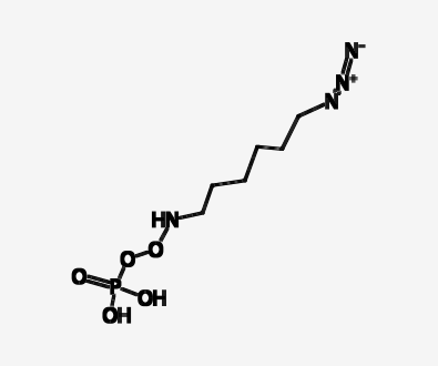 [N-]=[N+]=NCCCCCCNOOP(=O)(O)O